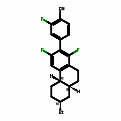 CC[C@@H]1CC[C@@H]2c3cc(F)c(-c4ccc(C#N)c(F)c4)c(F)c3CC[C@H]2C1